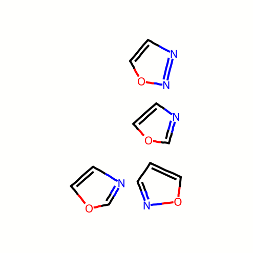 c1cnoc1.c1cocn1.c1cocn1.c1conn1